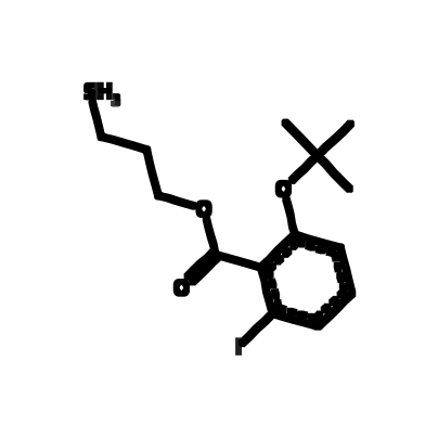 CC(C)(C)Oc1cccc(I)c1C(=O)OCCC[SiH3]